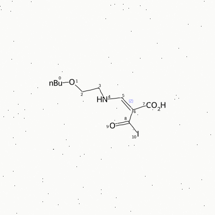 CCCCOCCN/C=C(/C(=O)O)C(=O)I